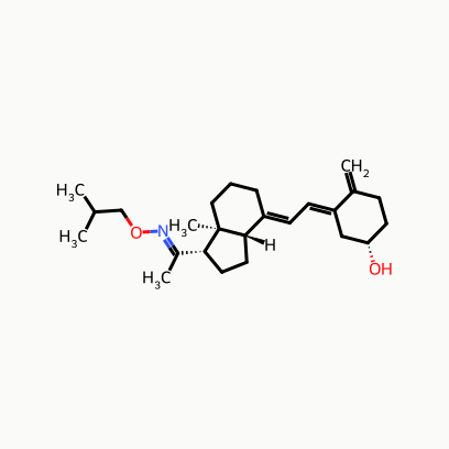 C=C1CC[C@H](O)CC1=CC=C1CCC[C@]2(C)[C@@H](C(C)=NOCC(C)C)CC[C@@H]12